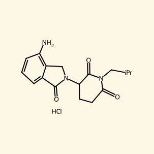 CC(C)CN1C(=O)CCC(N2Cc3c(N)cccc3C2=O)C1=O.Cl